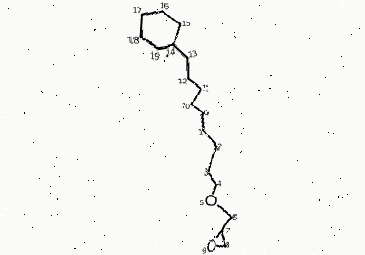 C(CCCCOCC1CO1)CCCCC1CCCCC1